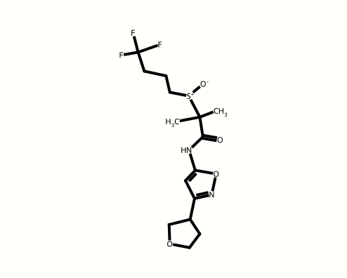 CC(C)(C(=O)Nc1cc(C2CCOC2)no1)[S+]([O-])CCCC(F)(F)F